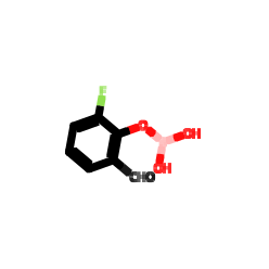 O=Cc1cccc(F)c1OB(O)O